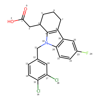 O=C(O)CC1CCCc2c1n(Cc1ccc(Cl)c(Cl)c1)c1ccc(F)cc21